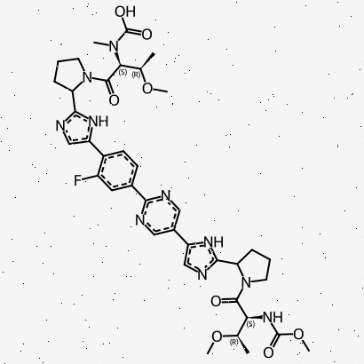 COC(=O)N[C@H](C(=O)N1CCCC1c1ncc(-c2cnc(-c3ccc(-c4cnc(C5CCCN5C(=O)[C@H]([C@@H](C)OC)N(C)C(=O)O)[nH]4)c(F)c3)nc2)[nH]1)[C@@H](C)OC